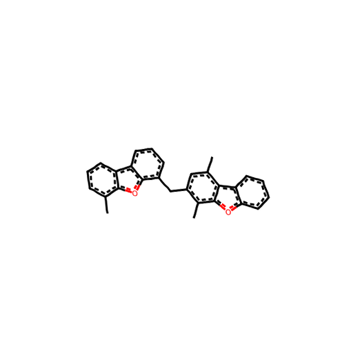 Cc1cccc2c1oc1c(Cc3cc(C)c4c(oc5ccccc54)c3C)cccc12